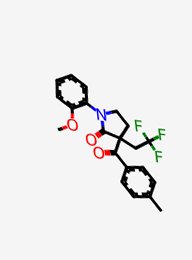 COc1ccccc1N1CCC(CC(F)(F)F)(C(=O)c2ccc(C)cc2)C1=O